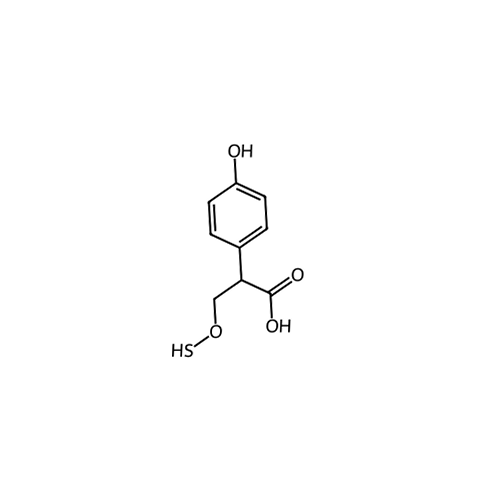 O=C(O)C(COS)c1ccc(O)cc1